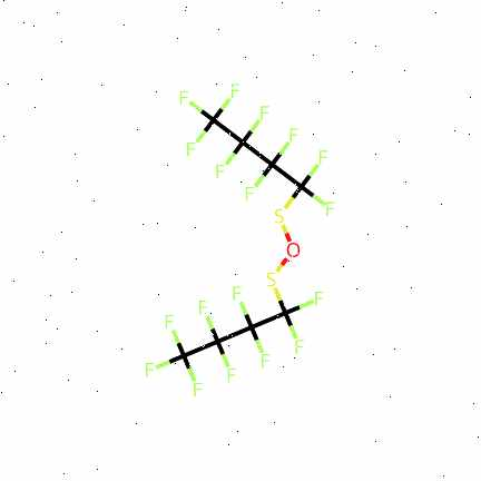 FC(F)(F)C(F)(F)C(F)(F)C(F)(F)SOSC(F)(F)C(F)(F)C(F)(F)C(F)(F)F